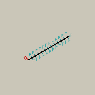 [O]CC(F)(F)C(F)(F)C(F)(F)C(F)(F)C(F)(F)C(F)(F)C(F)(F)C(F)(F)C(F)(F)C(F)(F)C(F)(F)C(F)(F)F